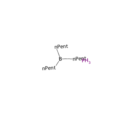 CCCCCB(CCCCC)CCCCC.P